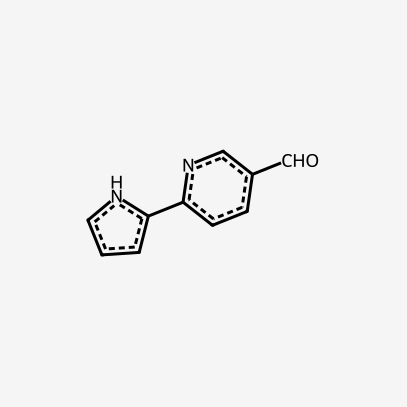 O=Cc1ccc(-c2ccc[nH]2)nc1